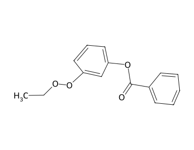 CCOOc1cccc(OC(=O)c2ccccc2)c1